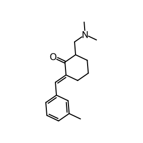 Cc1cccc(C=C2CCCC(CN(C)C)C2=O)c1